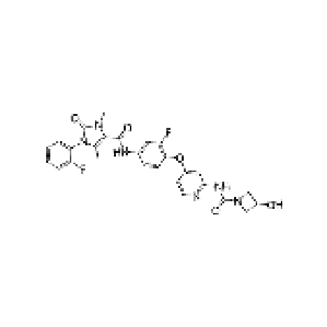 Cc1c(C(=O)Nc2ccc(Oc3ccnc(NC(=O)N4CC(O)C4)c3)c(F)c2)n(C)c(=O)n1-c1ccccc1F